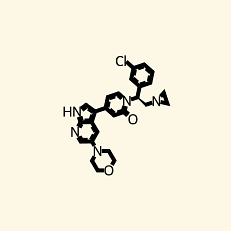 O=c1cc(-c2c[nH]c3ncc(N4CCOCC4)cc23)ccn1[C@H](CN1CC1)c1cccc(Cl)c1